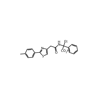 CCC(NC(=O)Cc1csc(-c2ccc(C)cc2)n1)(C(=O)O)c1ccccc1